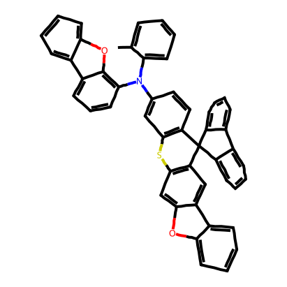 Cc1ccccc1N(c1ccc2c(c1)Sc1cc3oc4ccccc4c3cc1C21c2ccccc2-c2ccccc21)c1cccc2c1oc1ccccc12